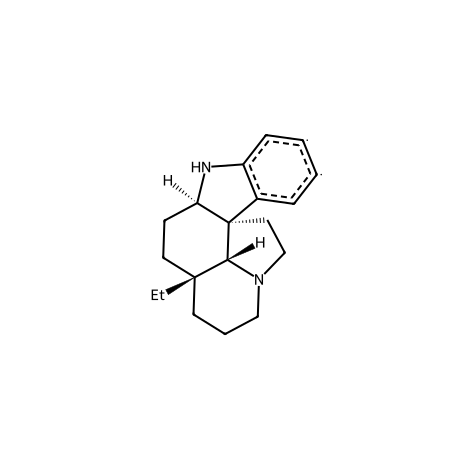 CC[C@@]12CCCN3CC[C@]4(c5c[c][c]cc5N[C@@H]4CC1)[C@H]32